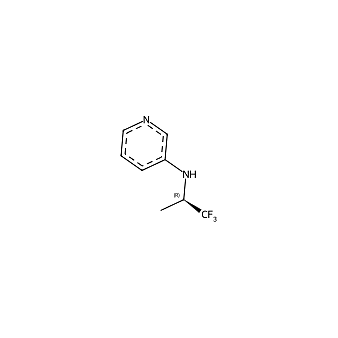 C[C@@H](Nc1cccnc1)C(F)(F)F